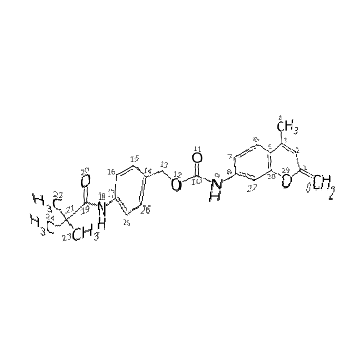 C=C1C=C(C)c2ccc(NC(=O)OCc3ccc(NC(=O)C(C)(C)C)cc3)cc2O1